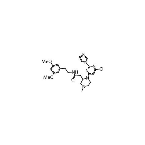 COc1cc(CCNC(=O)CC2CN(C)CCN2c2cc(Cl)nc(-n3ccnc3)n2)cc(OC)c1